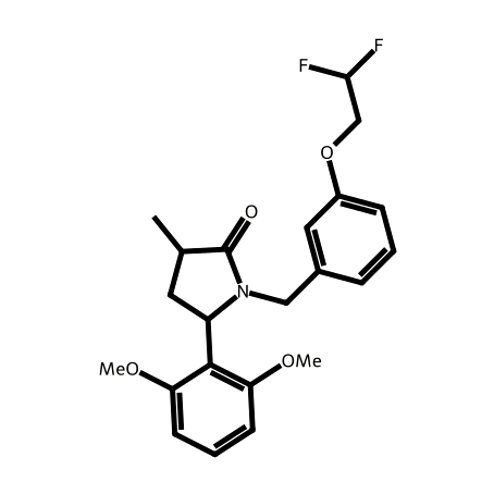 COc1cccc(OC)c1C1CC(C)C(=O)N1Cc1cccc(OCC(F)F)c1